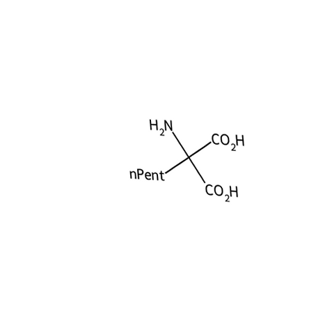 CCCCCC(N)(C(=O)O)C(=O)O